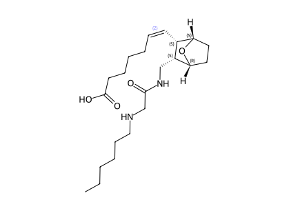 CCCCCCNCC(=O)NC[C@@H]1[C@H](/C=C\CCCCC(=O)O)[C@@H]2CC[C@H]1O2